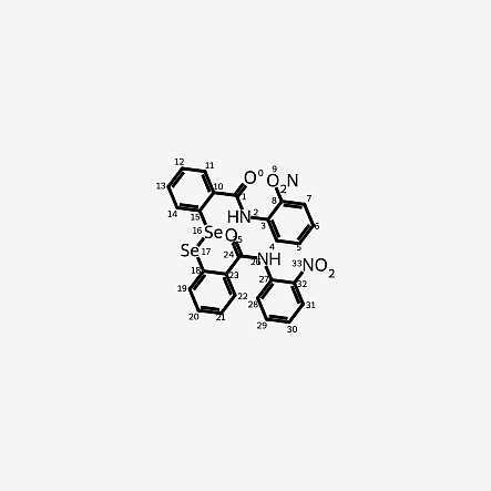 O=C(Nc1ccccc1[N+](=O)[O-])c1ccccc1[Se][Se]c1ccccc1C(=O)Nc1ccccc1[N+](=O)[O-]